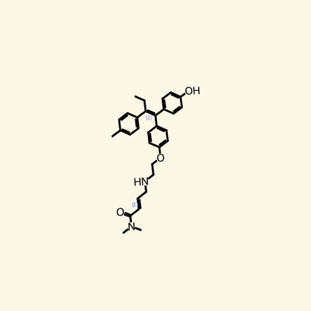 CC/C(=C(\c1ccc(O)cc1)c1ccc(OCCNC/C=C/C(=O)N(C)C)cc1)c1ccc(C)cc1